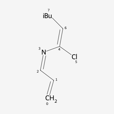 C=C/C=N\C(Cl)=C/C(C)CC